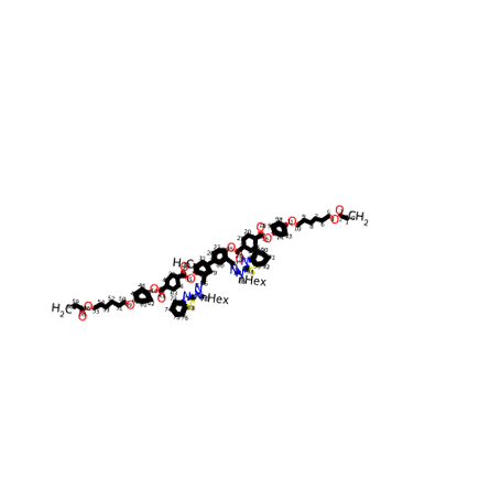 C=CC(=O)OCCCCCCOc1ccc(OC(=O)C2CCC(C(=O)Oc3ccc(-c4cc(C)c(OC(=O)C5CCC(C(=O)Oc6ccc(OCCCCCCOC(=O)C=C)cc6)CC5)c(/C=N/N(CCCCCC)c5nc6ccccc6s5)c4)cc3/C=N/N(CCCCCC)c3nc4ccccc4s3)CC2)cc1